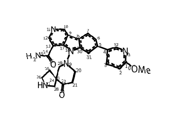 COc1ccc(-c2ccc3c4cncc(C(N)=O)c4n(N4CCC(=O)[C@@]5(CCNC5)C4)c3c2)cn1